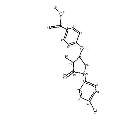 COC(=O)c1ccc(NC2CN(c3ccc(Cl)cc3)C(=O)C2C)cc1